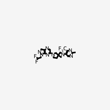 Cc1ncc(N2CC3(CCN(c4cnc5cnn(CC(F)F)c5n4)C3)C2)c(C(F)(F)F)n1